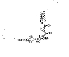 O.O.O.O.O.O.O.O.O.O.OB(O)O.OB(O)O.OB(O)O.OB(O)O.[LiH]